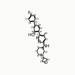 Cc1cc(N[C@@H]2CCCN(C3COC3)C2)nnc1-c1ccc(-c2ccc(F)cc2)cc1O